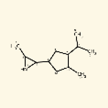 CC(C)C1CC(C2NC2C)CC1C